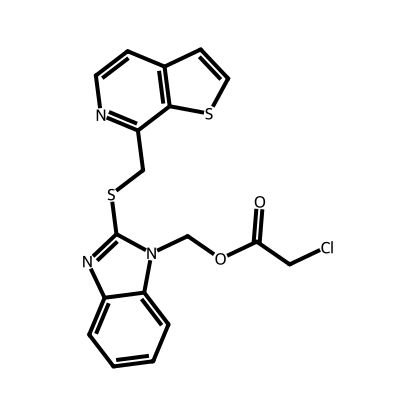 O=C(CCl)OCn1c(SCc2nccc3ccsc23)nc2ccccc21